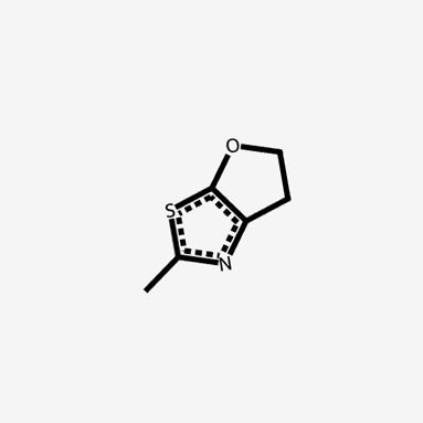 Cc1nc2c(s1)OCC2